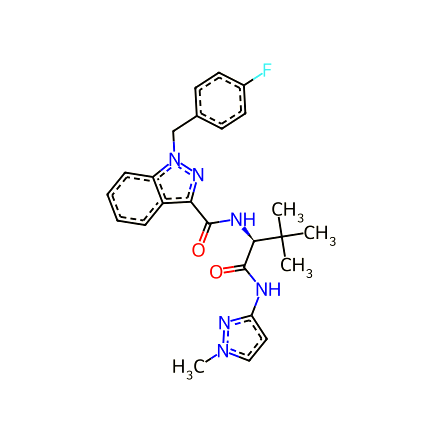 Cn1ccc(NC(=O)[C@@H](NC(=O)c2nn(Cc3ccc(F)cc3)c3ccccc23)C(C)(C)C)n1